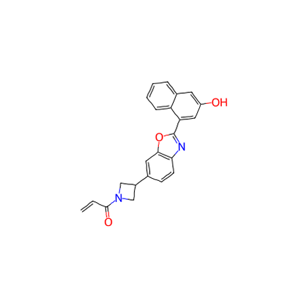 C=CC(=O)N1CC(c2ccc3nc(-c4cc(O)cc5ccccc45)oc3c2)C1